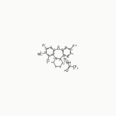 N#Cc1c(F)cc2c(c1Cl)N1CCC[C@@H](NC(=O)C(F)(F)F)[C@@H]1c1ccc(F)cc1O2